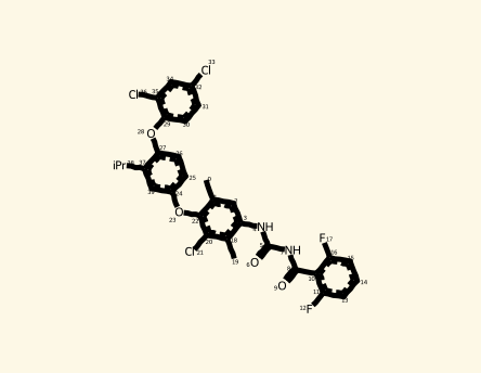 Cc1cc(NC(=O)NC(=O)c2c(F)cccc2F)c(C)c(Cl)c1Oc1ccc(Oc2ccc(Cl)cc2Cl)c(C(C)C)c1